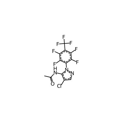 CC(=O)Nc1c(Cl)cnn1-c1c(F)c(F)c(C(F)(F)F)c(F)c1F